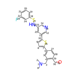 CN(C)Cc1cc(-c2ccc(-c3cncc(NSc4cccc(F)c4)c3)s2)ccc1C=O